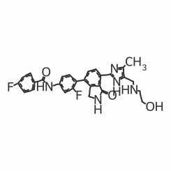 Cc1nc(-c2ccc(-c3ccc(NC(=O)c4ccc(F)cc4)cc3F)c3c2C(=O)NC3)[nH]c1CNCCO